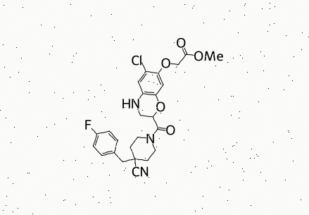 COC(=O)COc1cc2c(cc1Cl)NCC(C(=O)N1CCC(C#N)(Cc3ccc(F)cc3)CC1)O2